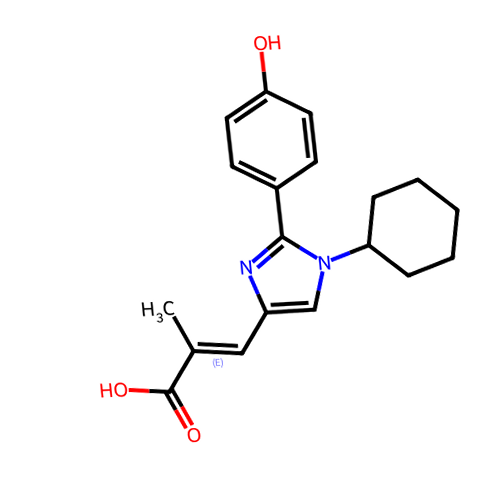 C/C(=C\c1cn(C2CCCCC2)c(-c2ccc(O)cc2)n1)C(=O)O